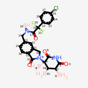 BC1C(=O)NC(=O)[C@](B)(N2Cc3cc(CN(B)C(=O)C(F)(F)c4ccc(Cl)cc4)ccc3C2=O)C1B